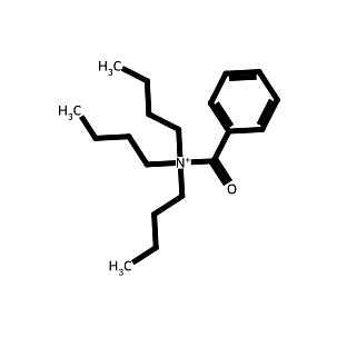 CCCC[N+](CCCC)(CCCC)C(=O)c1ccccc1